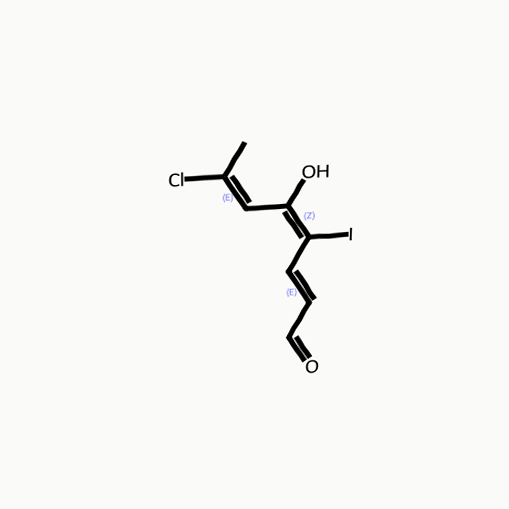 C\C(Cl)=C/C(O)=C(I)\C=C\C=O